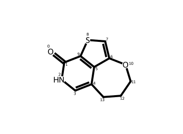 O=c1[nH]cc2c3c(csc13)OCCC2